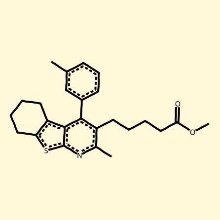 COC(=O)CCCCc1c(C)nc2sc3c(c2c1-c1cccc(C)c1)CCCC3